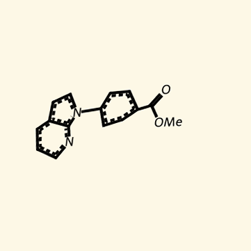 COC(=O)c1ccc(-n2ccc3cccnc32)cc1